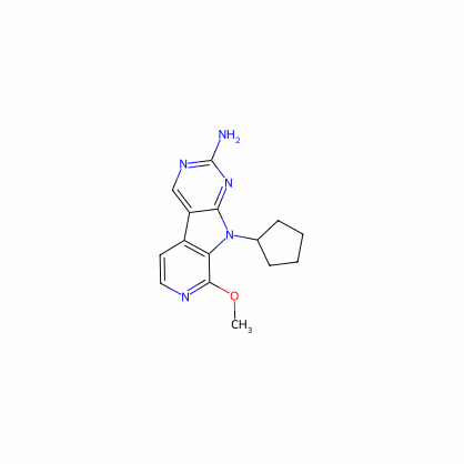 COc1nccc2c3cnc(N)nc3n(C3CCCC3)c12